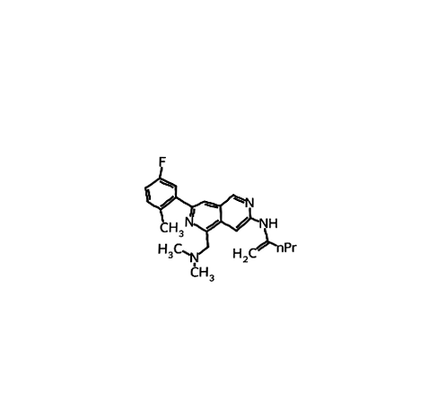 C=C(CCC)Nc1cc2c(CN(C)C)nc(-c3cc(F)ccc3C)cc2cn1